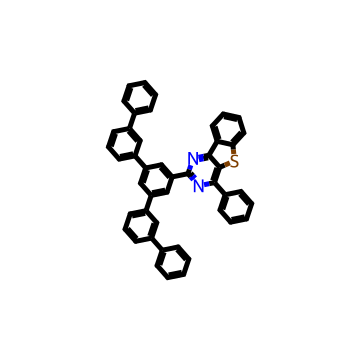 c1ccc(-c2cccc(-c3cc(-c4cccc(-c5ccccc5)c4)cc(-c4nc(-c5ccccc5)c5sc6ccccc6c5n4)c3)c2)cc1